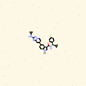 CCn1cc(C(=O)N[C@H](c2ccc(F)cc2)C2CC2)c2cc(-c3ccn4nc(NC5CC5)nc4c3)ccc21